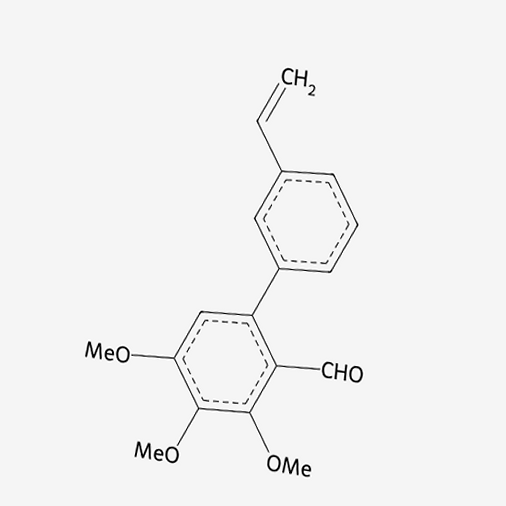 C=Cc1cccc(-c2cc(OC)c(OC)c(OC)c2C=O)c1